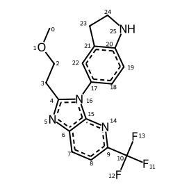 COCCc1nc2ccc(C(F)(F)F)nc2n1-c1ccc2c(c1)CCN2